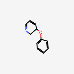 C1=C[C](Oc2ccccc2)CN=C1